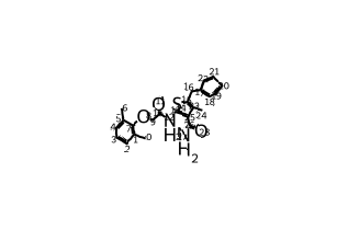 Cc1cccc(C)c1OCC(=O)Nc1sc(Cc2ccccc2)c(C)c1C(N)=O